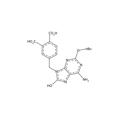 CCCCOc1nc(N)c2nc(O)n(Cc3ccc(C(=O)O)c(C(=O)O)c3)c2n1